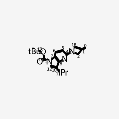 CC1CN(c2ccc3c(n2)c(C(C)C)cn3C(=O)OC(C)(C)C)C1